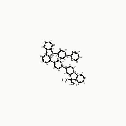 CC1(C)c2ccccc2-c2ccc(-c3ccc(-c4cccc5c6ccccc6n(-c6ccc(-c7ncccn7)cc6)c45)cc3)cc21